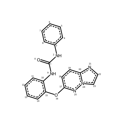 O=C(Nc1ccccc1)Nc1ccccc1Oc1ccc2nccn2n1